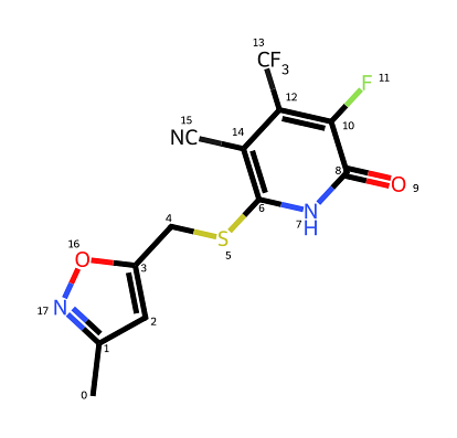 Cc1cc(CSc2[nH]c(=O)c(F)c(C(F)(F)F)c2C#N)on1